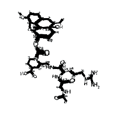 CC[C@@H]1Cc2ccc(OC)c3c2C2(C)C(O3)C(OC(=O)N3CCC(C(=O)O)CC3CNC(=O)[C@H](CCCNC(=N)N)NC(=O)CNC(C)=O)=CC[C@@]12O